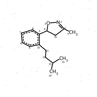 CC1=NOC(c2ccccc2CCC(C)C)C1